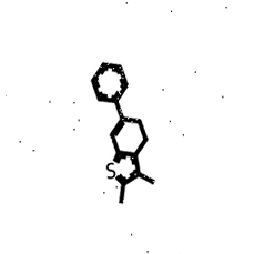 Cc1sc2c(c1C)CCC(c1ccccc1)=C2